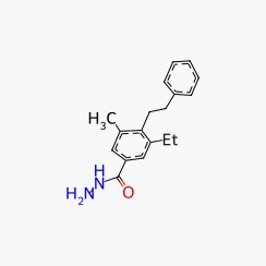 CCc1cc(C(=O)NN)cc(C)c1CCc1ccccc1